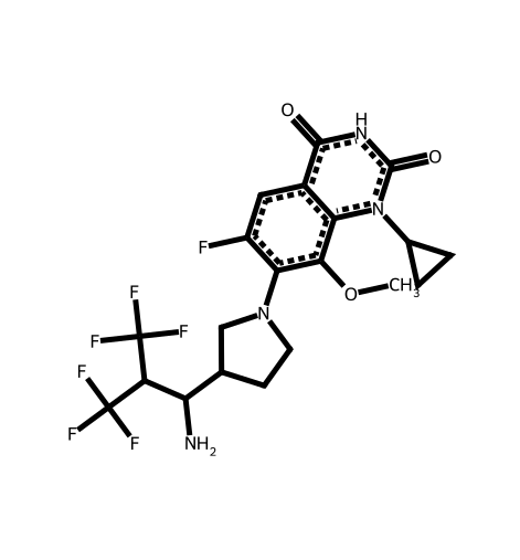 COc1c(N2CCC(C(N)C(C(F)(F)F)C(F)(F)F)C2)c(F)cc2c(=O)[nH]c(=O)n(C3CC3)c12